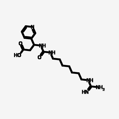 N=C(N)NCCCCCCCNC(=O)NC(CC(=O)O)c1cccnc1